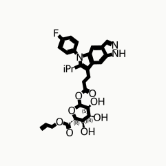 C=CCOC(=O)[C@@H]1OC(OC(=O)CCc2c(C(C)C)n(-c3ccc(F)cc3)c3cc4cn[nH]c4cc23)[C@@H](O)[C@H](O)[C@H]1O